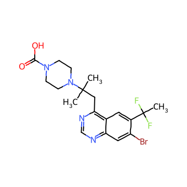 CC(F)(F)c1cc2c(CC(C)(C)N3CCN(C(=O)O)CC3)ncnc2cc1Br